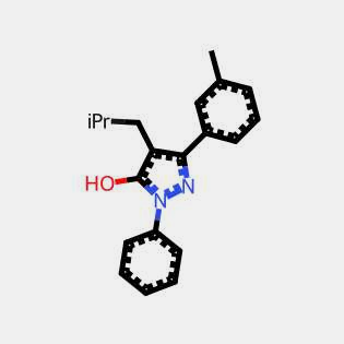 Cc1cccc(-c2nn(-c3ccccc3)c(O)c2CC(C)C)c1